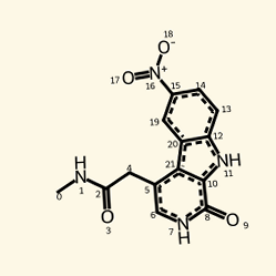 CNC(=O)Cc1c[nH]c(=O)c2[nH]c3ccc([N+](=O)[O-])cc3c12